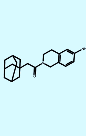 Nc1ccc2c(c1)CCN(C(=O)CC13CC4CC(CC(C4)C1)C3)C2